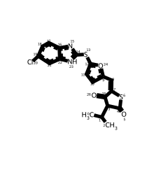 CC(C)C1C(=O)SC(=Cc2ccc(Sc3nc4ccc(Cl)cc4[nH]3)o2)C1=O